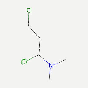 CN(C)C(Cl)CCCl